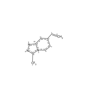 C=Cc1ccn2c(C(F)(F)F)nnc2c1